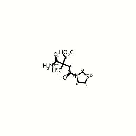 CC(CC(=O)O)(CC(=O)N1CCSC1)C(N)=O